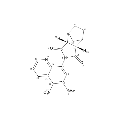 CSc1cc(N2C(=O)[C@@H]3C4CCC(C4)[C@@H]3C2=O)c2ncccc2c1[N+](=O)[O-]